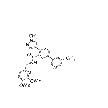 COc1ccc(CNC(=O)c2cc(-c3cncc(C)c3)ccc2-c2cnn(C)c2)nc1OC